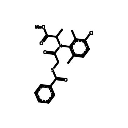 COC(=O)C(C)N(C(=O)CSC(=O)c1ccccc1)c1c(C)ccc(Cl)c1C